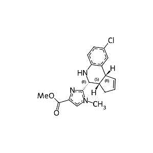 COC(=O)c1cn(C)c([C@@H]2Nc3ccc(Cl)cc3[C@@H]3C=CC[C@@H]32)n1